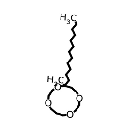 CCCCCCCCCCCCC1(C)CCOCCOCCCOCCO1